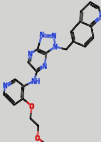 COCCOc1ccncc1Nc1cnc2nnn(Cc3ccc4ncccc4c3)c2n1